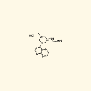 C[C@H]1C[C@@H](NCC#N)CN(c2ccnc3nccnc23)C1.Cl